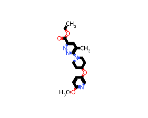 CCOC(=O)c1cc(C)c(N2CCC(Oc3ccc(OC)nc3)CC2)nn1